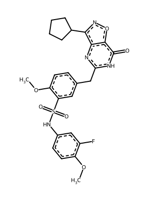 COc1ccc(NS(=O)(=O)c2cc(Cc3nc4c(C5CCCC5)noc4c(=O)[nH]3)ccc2OC)cc1F